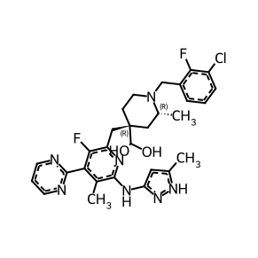 Cc1cc(Nc2nc(C[C@@]3(C(O)O)CCN(Cc4cccc(Cl)c4F)[C@H](C)C3)c(F)c(-c3ncccn3)c2C)n[nH]1